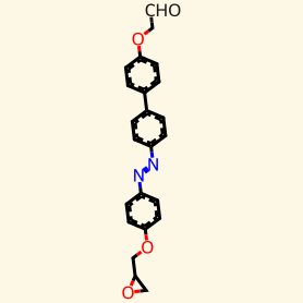 O=CCOc1ccc(-c2ccc(/N=N/c3ccc(OCC4CO4)cc3)cc2)cc1